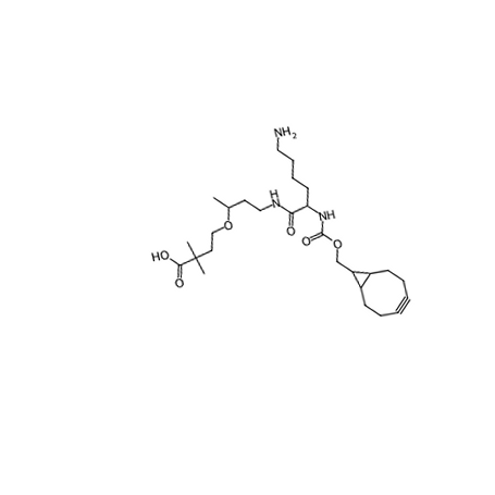 CC(CCNC(=O)C(CCCCN)NC(=O)OCC1C2CCC#CCCC21)OCCC(C)(C)C(=O)O